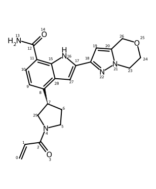 C=CC(=O)N1CC[C@H](c2ccc(C(N)=O)c3[nH]c(-c4cc5n(n4)CCOC5)cc23)C1